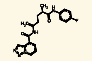 C=C(CCC(C)C(=O)Nc1ccc(F)cc1)NC(=O)c1cccn2nncc12